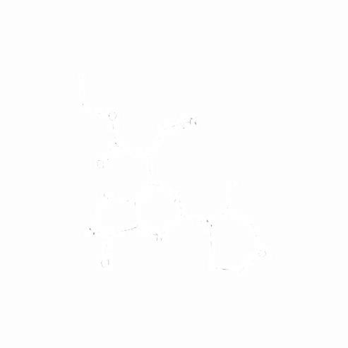 CCOC(=O)C(C#N)c1cc(N2CCOCC2C)nc2c(Cl)nsc12